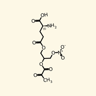 CC(=O)C(=O)OC(COC(=O)CC[C@H](N)C(=O)O)CO[N+](=O)[O-]